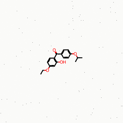 CCOc1ccc(C(=O)c2ccc(OC(C)C)cc2)c(O)c1